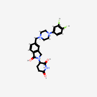 O=C1CCC(N2Cc3cc(CN4CCN(c5ccc(F)c(F)c5)CC4)ccc3C2=O)C(=O)N1